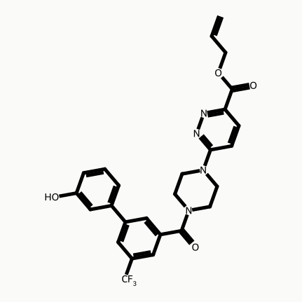 C=CCOC(=O)c1ccc(N2CCN(C(=O)c3cc(-c4cccc(O)c4)cc(C(F)(F)F)c3)CC2)nn1